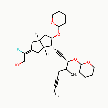 CC#CCC(C)[C@@H](C#C[C@@H]1[C@H]2C/C(=C(/F)CO)C[C@H]2C[C@H]1OC1CCCCO1)OC1CCCCO1